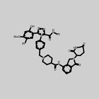 COc1cc(O)c(-c2nnc(C(=O)NC(C)C)n2-c2ccc(CN3CCC(C(=O)Nc4cccc5c4CN(C4CCC(=O)NC4=O)C5=O)CC3)cc2)cc1C(C)C